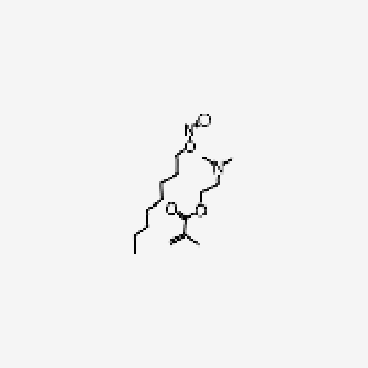 C=C(C)C(=O)OCCN(C)C.CCCCCCCCON=O